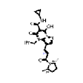 CC(C)Cn1c(=O)c(C(=O)NC2CC2)c(O)n2ncc(/C=C/C(=O)N3[C@H](C)CC[C@H]3C)c12